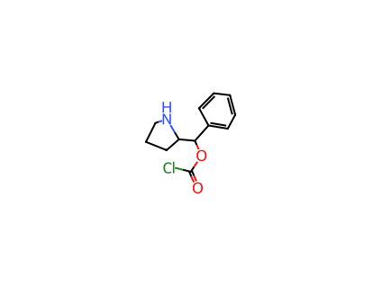 O=C(Cl)OC(c1ccccc1)C1CCCN1